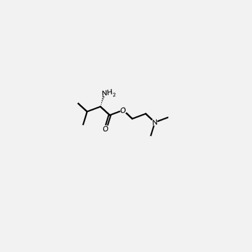 CC(C)[C@H](N)C(=O)OCCN(C)C